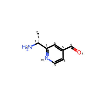 C[C@@H](N)c1cc(C=O)ccn1